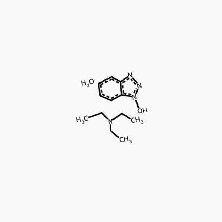 CCN(CC)CC.O.On1nnc2ccccc21